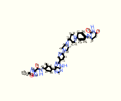 Cc1cc(-c2ncnc3[nH]c(-c4ccc(N5CCN(CC6CCN(c7ccc(N8CCC(=O)NC8=O)cc7)CC6)CC5)nc4)nc23)ccc1CNC(=O)c1noc(C(C)(C)C)n1